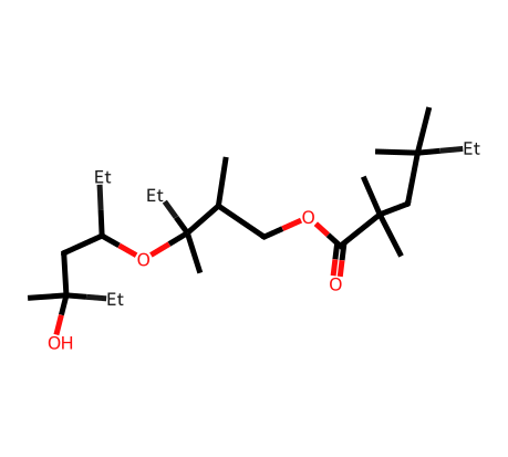 CCC(CC(C)(O)CC)OC(C)(CC)C(C)COC(=O)C(C)(C)CC(C)(C)CC